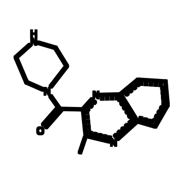 Cc1nc2ccccc2nc1C(=O)N1CCNCC1